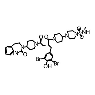 CNS(=O)(=O)N1CCN(C2CCN(C(=O)[C@H](CC(=O)N3CCC(N4CCc5ccccc5NC4=O)CC3)Cc3cc(Br)c(O)c(Br)c3)CC2)CC1